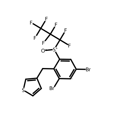 [O-][S+](c1cc(Br)[c]c(Br)c1Cc1ccsc1)C(F)(F)C(F)(F)C(F)(F)F